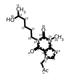 CC(=O)Cn1cnc2c1c(=O)n(CCCCC(C)O)c(=O)n2C